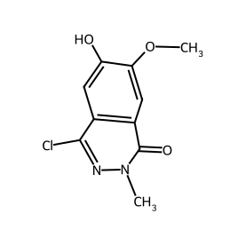 COc1cc2c(=O)n(C)nc(Cl)c2cc1O